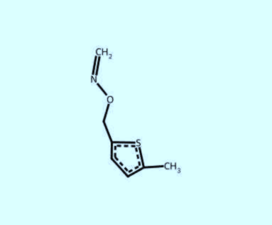 C=NOCc1ccc(C)s1